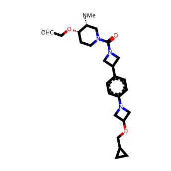 CN[C@@H]1CN(C(=O)N2CC(c3ccc(N4CC(OCC5CC5)C4)cc3)C2)CC[C@@H]1OCC=O